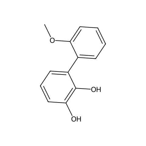 COc1ccccc1-c1cccc(O)c1O